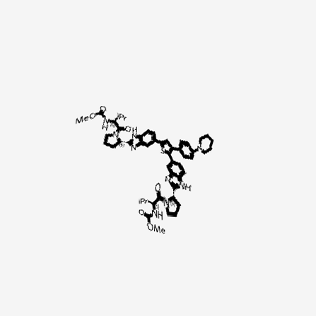 COC(=O)N[C@H](C(=O)N1CCC[C@H]1c1nc2cc(-c3cc(-c4ccc(N5CCCCC5)cc4)c(-c4ccc5[nH]c([C@@H]6CCCN6C(=O)[C@@H](NC(=O)OC)C(C)C)nc5c4)s3)ccc2[nH]1)C(C)C